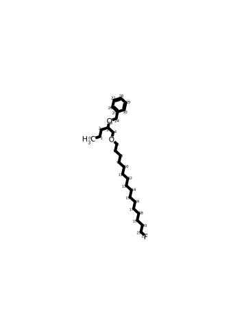 CCCC(COCCCCCCCCCCCCCCCCF)OCc1ccccc1